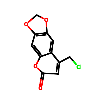 O=c1cc(CCl)c2cc3c(cc2o1)OCO3